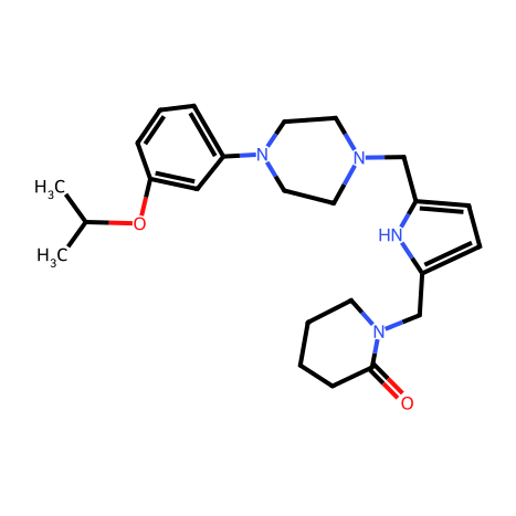 CC(C)Oc1cccc(N2CCN(Cc3ccc(CN4CCCCC4=O)[nH]3)CC2)c1